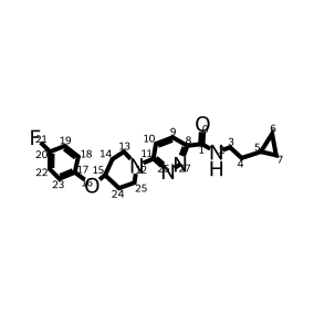 O=C(NCCC1CC1)c1ccc(N2CCC(Oc3ccc(F)cc3)CC2)nn1